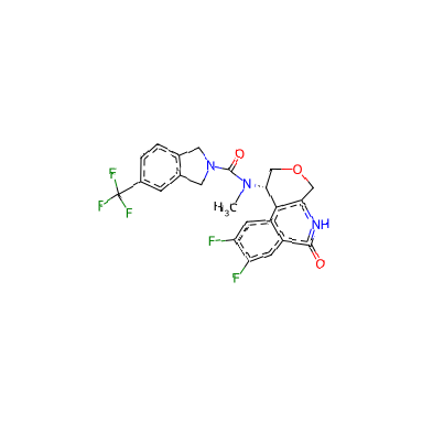 CN(C(=O)N1Cc2ccc(C(F)(F)F)cc2C1)[C@@H]1COCc2[nH]c(=O)c3cc(F)c(F)cc3c21